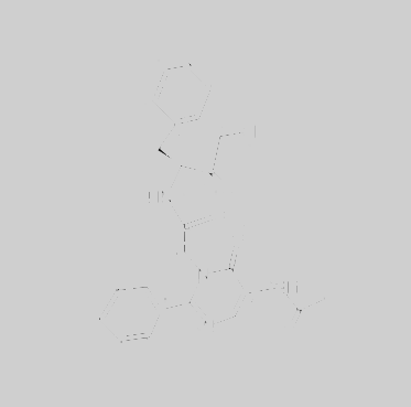 CC(=O)Nc1cnc(-c2ccccc2)n(CC(=O)N[C@@H](Cc2ccccc2)C(=O)CCl)c1=O